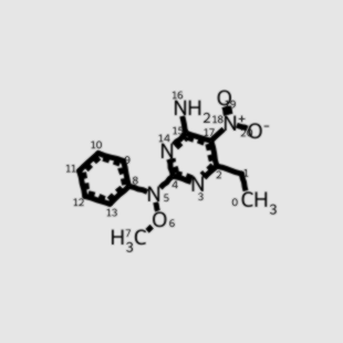 CCc1nc(N(OC)c2ccccc2)nc(N)c1[N+](=O)[O-]